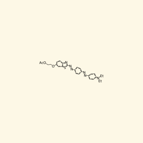 CCN(CC)c1ccc(/N=N/c2ccc(/N=N/c3nc4ccc(OCCOC(C)=O)cc4s3)cc2)cc1